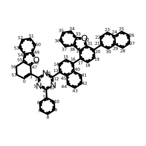 C1=C(c2nc(-c3ccccc3)nc(-c3ccc(-c4ccc(-c5ccc6ccccc6c5)c5oc6ccccc6c45)c4ccccc34)n2)c2oc3ccccc3c2CC1